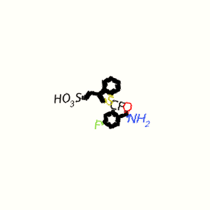 NC(=O)c1ccc(F)cc1C(F)(F)F.O=S(=O)(O)/C=C/c1csc2ccccc12